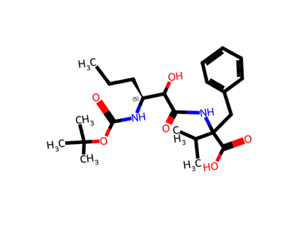 CCC[C@H](NC(=O)OC(C)(C)C)C(O)C(=O)NC(Cc1ccccc1)(C(=O)O)C(C)C